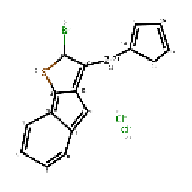 BrC1SC2=c3ccccc3=CC2=[C]1[Zr+2][C]1=CC=CC1.[Cl-].[Cl-]